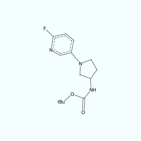 CC(C)(C)OC(=O)NC1CCN(c2ccc(F)nc2)C1